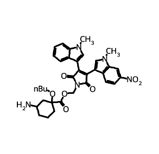 CCCCOC1(C(=O)OCN2C(=O)C(c3cn(C)c4ccccc34)=C(c3cn(C)c4cc([N+](=O)[O-])ccc34)C2=O)CCCC(N)C1